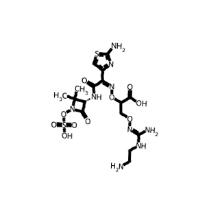 CC1(C)[C@H](NC(=O)/C(=N\OC(CO/N=C(\N)NCCN)C(=O)O)c2csc(N)n2)C(=O)N1OS(=O)(=O)O